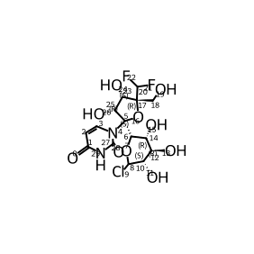 O=c1ccn([C@]2(C3OC(Cl)[C@@H](O)[C@H](O)[C@H]3O)O[C@@](CO)(C(F)F)[C@@H](O)[C@H]2O)c(=O)[nH]1